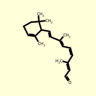 CC1=CCCC(C)(C)C1/C=C/C(C)=C/C=C\C(C)=C\C=O